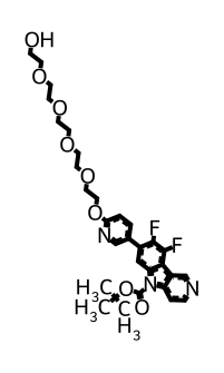 CC(C)(C)OC(=O)n1c2ccncc2c2c(F)c(F)c(-c3ccc(OCCOCCOCCOCCOCCO)nc3)cc21